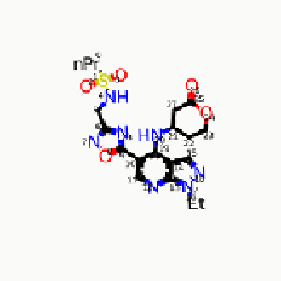 CCCS(=O)(=O)NCc1noc(-c2cnc3c(cnn3CC)c2NC2CCOC(=O)C2)n1